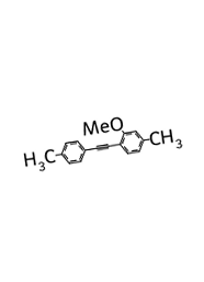 COc1cc(C)ccc1C#Cc1ccc(C)cc1